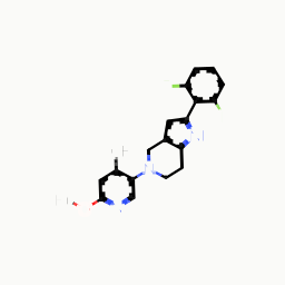 CCOc1cc(C(F)(F)F)c(N2CCc3[nH]c(-c4c(F)cccc4F)cc3C2)cn1